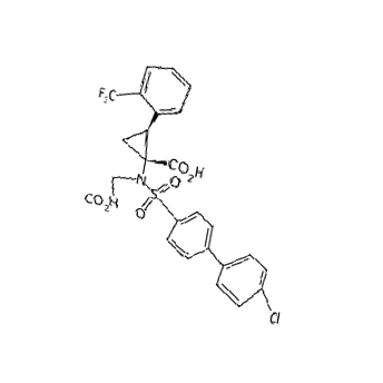 O=C(O)CN([C@]1(C(=O)O)C[C@H]1c1ccccc1C(F)(F)F)S(=O)(=O)c1ccc(-c2ccc(Cl)cc2)cc1